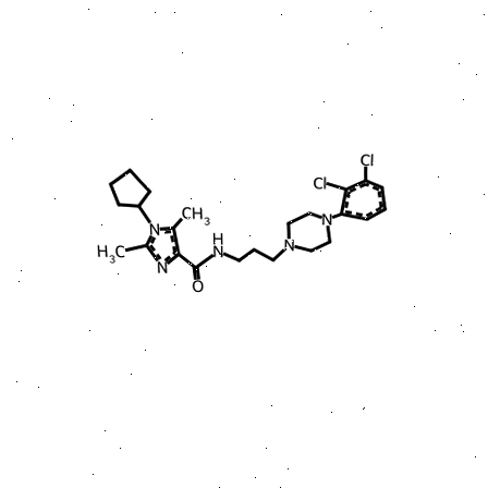 Cc1nc(C(=O)NCCCN2CCN(c3cccc(Cl)c3Cl)CC2)c(C)n1C1CCCC1